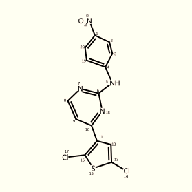 O=[N+]([O-])c1ccc(Nc2nccc(-c3cc(Cl)sc3Cl)n2)cc1